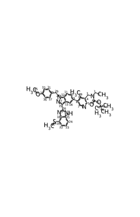 CCN(Cc1cncc(-c2ccc3c(c2)c(-c2nc4c(SC)cccc4[nH]2)nn3Cc2ccc(OC)cc2)c1C)C(=O)OC(C)(C)C